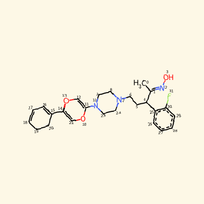 C/C(=N\O)C(CCN1CCN(C2=COC(C3=CC=CCC3)=CO2)CC1)c1ccccc1F